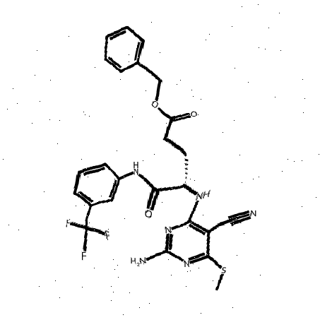 CSc1nc(N)nc(N[C@@H](CCC(=O)OCc2ccccc2)C(=O)Nc2cccc(C(F)(F)F)c2)c1C#N